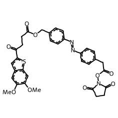 COc1cc2cc(C(=O)CCC(=O)OCc3ccc(N=Nc4ccc(CC(=O)ON5C(=O)CCC5=O)cc4)cc3)sc2cc1OC